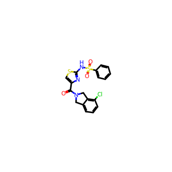 O=C(c1csc(NS(=O)(=O)c2ccccc2)n1)N1Cc2cccc(Cl)c2C1